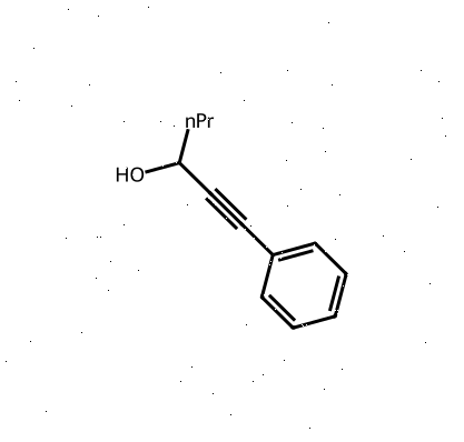 CCCC(O)C#Cc1ccccc1